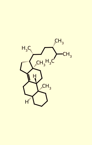 CC(C)[C@@H](C)CC[C@@H](C)[C@H]1CCC2=C3CC[C@@H]4CCCC[C@]4(C)[C@H]3CC[C@@]21C